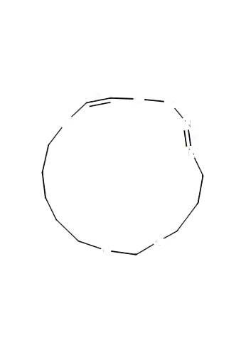 C1=C\OO/N=N/CCCCCCCCCCCC/1